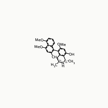 COc1cc(O)c2c(c1-c1c(C)cc(OC)c3c(OC)cccc13)C[C@H](C)N[C@H]2C